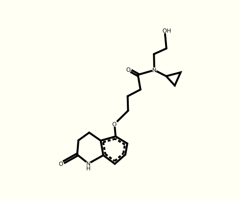 O=C1CCc2c(cccc2OCCCC(=O)N(CCO)C2CC2)N1